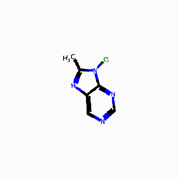 Cc1nc2cncnc2n1Cl